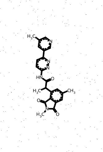 Cc1cncc(-c2ccc(NC(=O)C(C)c3cc(C)cc4c3C(=O)N(C)C4=O)nn2)c1